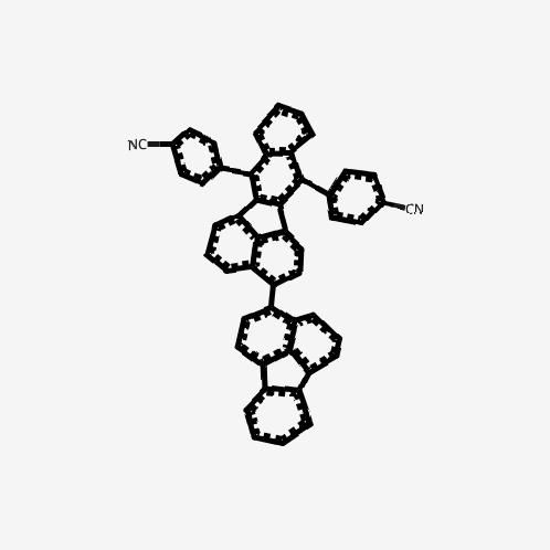 N#Cc1ccc(-c2c3c(c(-c4ccc(C#N)cc4)c4ccccc24)-c2ccc(-c4ccc5c6c(cccc46)-c4ccccc4-5)c4cccc-3c24)cc1